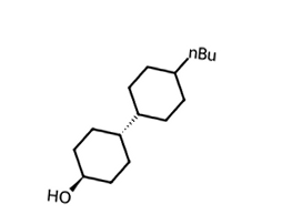 CCCCC1CCC([C@H]2CC[C@H](O)CC2)CC1